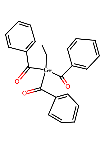 C[CH2][Ge]([C](=O)c1ccccc1)([C](=O)c1ccccc1)[C](=O)c1ccccc1